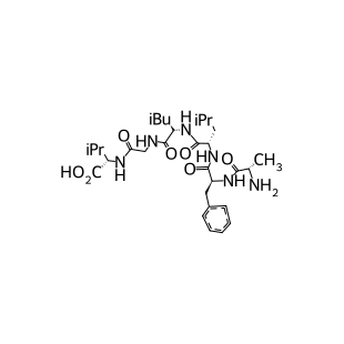 CC[C@H](C)[C@H](NC(=O)[C@H](CC(C)C)NC(=O)[C@H](Cc1ccccc1)NC(=O)[C@H](C)N)C(=O)NCC(=O)N[C@H](C(=O)O)C(C)C